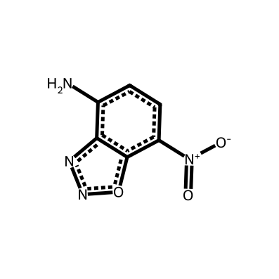 Nc1ccc([N+](=O)[O-])c2onnc12